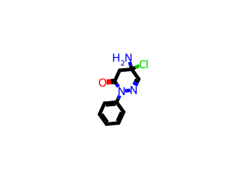 NC1(Cl)C=NN(c2ccccc2)C(=O)C1